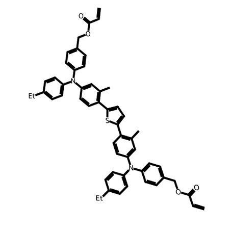 C=CC(=O)OCc1ccc(N(c2ccc(CC)cc2)c2ccc(-c3ccc(-c4ccc(N(c5ccc(CC)cc5)c5ccc(COC(=O)C=C)cc5)cc4C)s3)c(C)c2)cc1